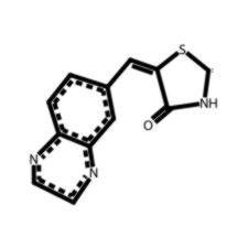 O=C1N[C]SC1=Cc1ccc2nccnc2c1